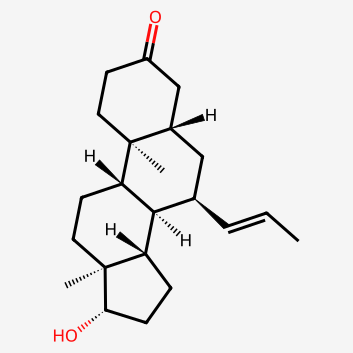 C/C=C/[C@@H]1C[C@H]2CC(=O)CC[C@]2(C)[C@H]2CC[C@]3(C)[C@@H](O)CC[C@H]3[C@H]12